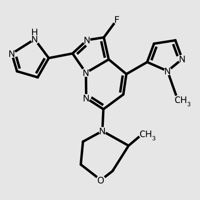 CC1COCCN1c1cc(-c2ccnn2C)c2c(F)nc(-c3ccn[nH]3)n2n1